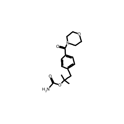 CC(C)(Cc1ccc(C(=O)N2CCOCC2)cc1)OC(N)=O